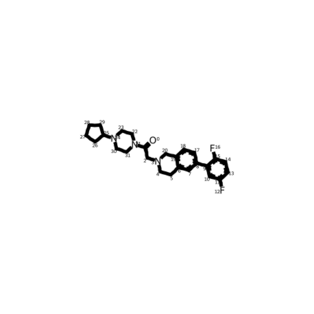 O=C(CN1CCc2cc(-c3cc(F)ccc3F)ccc2C1)N1CCN(C2CCCC2)CC1